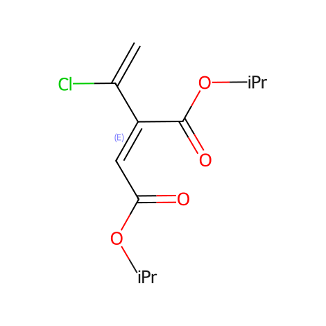 C=C(Cl)/C(=C/C(=O)OC(C)C)C(=O)OC(C)C